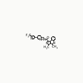 Cc1nc2ccccc2c2c1c(C)nn2C(=O)NCc1ccc(-c2cnn(C(F)(F)F)c2)cn1